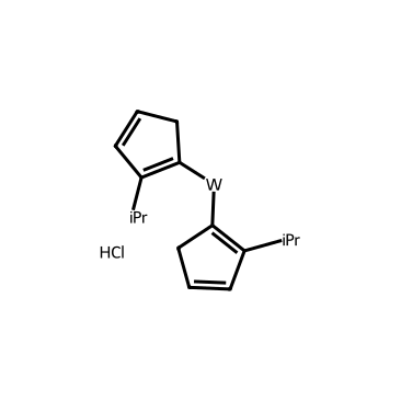 CC(C)C1=[C]([W][C]2=C(C(C)C)C=CC2)CC=C1.Cl